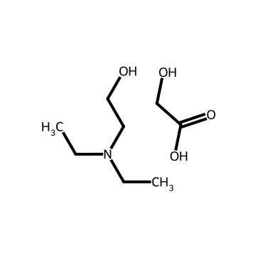 CCN(CC)CCO.O=C(O)CO